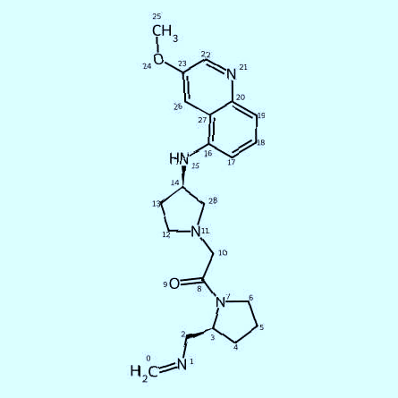 C=NC[C@@H]1CCCN1C(=O)CN1CC[C@@H](Nc2cccc3ncc(OC)cc23)C1